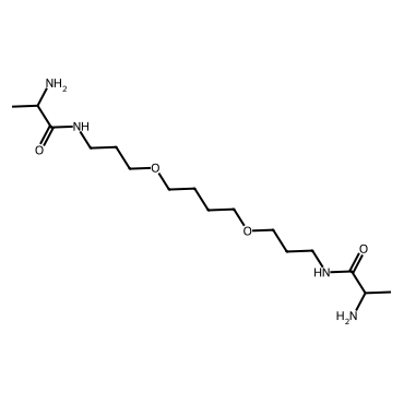 CC(N)C(=O)NCCCOCCCCOCCCNC(=O)C(C)N